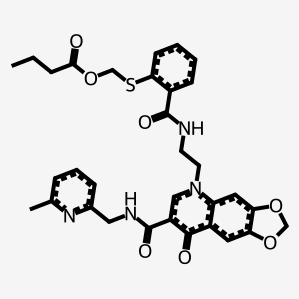 CCCC(=O)OCSc1ccccc1C(=O)NCCn1cc(C(=O)NCc2cccc(C)n2)c(=O)c2cc3c(cc21)OCO3